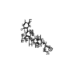 Cc1ccc(F)cc1-c1cc(C(F)(F)F)c(N[C@@H]2C[C@@H]3CN(CC4CCCOC4)C[C@@H]3C2)nn1